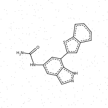 NC(=O)Nc1cc(-c2cc3ccccc3s2)c2[nH]ncc2c1